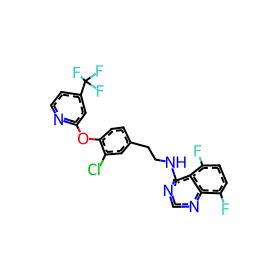 Fc1ccc(F)c2c(NCCc3ccc(Oc4cc(C(F)(F)F)ccn4)c(Cl)c3)ncnc12